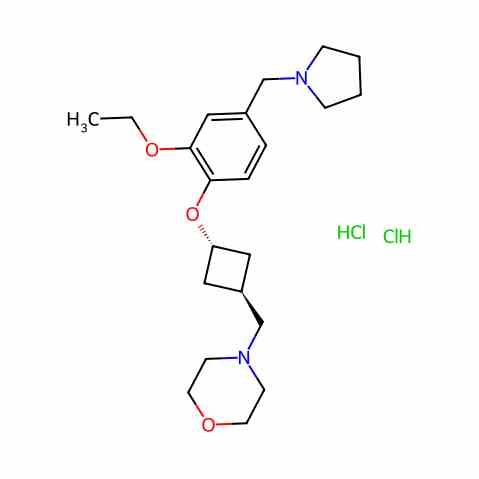 CCOc1cc(CN2CCCC2)ccc1O[C@H]1C[C@H](CN2CCOCC2)C1.Cl.Cl